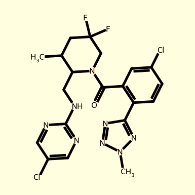 CC1CC(F)(F)CN(C(=O)c2cc(Cl)ccc2-c2nnn(C)n2)C1CNc1ncc(Cl)cn1